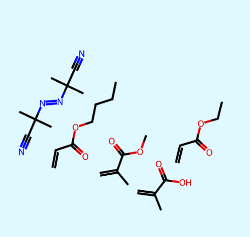 C=C(C)C(=O)O.C=C(C)C(=O)OC.C=CC(=O)OCC.C=CC(=O)OCCCC.CC(C)(C#N)N=NC(C)(C)C#N